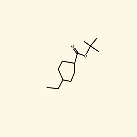 CCC1CCC(C(=O)OC(C)(C)C)CC1